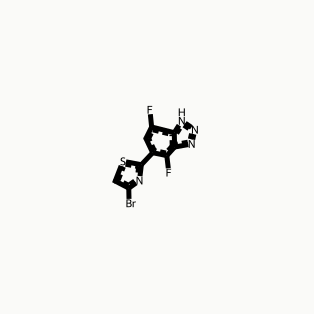 Fc1c(-c2nc(Br)cs2)cc(F)c2[nH]nnc12